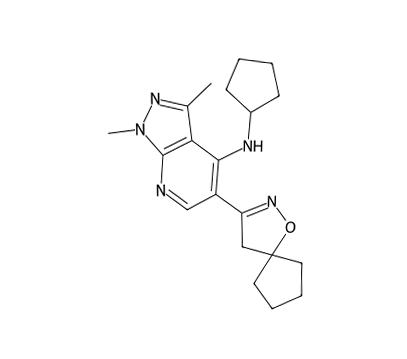 Cc1nn(C)c2ncc(C3=NOC4(CCCC4)C3)c(NC3CCCC3)c12